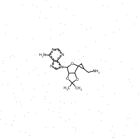 CC1(C)OC2C(n3cnc4c(N)ncnc43)O[C@@]3(CC3CN)C2O1